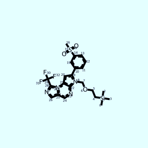 C[Si](C)(C)CCOCn1c(-c2cccc(S(C)(=O)=O)c2)cc2c1ncc1cnc(C(F)(F)F)n12